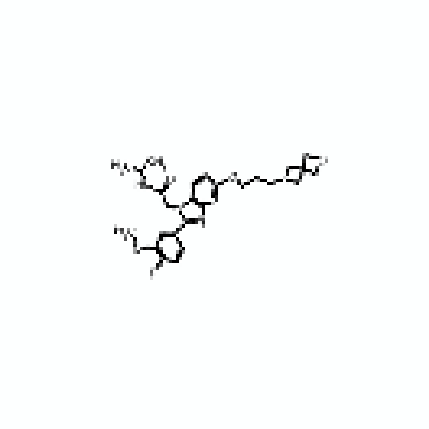 COc1cc(-c2nc3cc(OCCCN4CC5(COC5)C4)ccc3n2CC(=O)NC(C)C)ccc1F